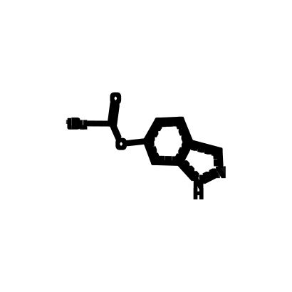 CC(C)(C)C(=O)Oc1ccc2cn[nH]c2c1